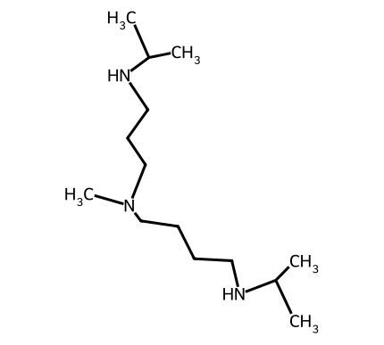 CC(C)NCCCCN(C)CCCNC(C)C